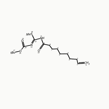 C=CCCCCCCCC(=O)N/C(=N/C(=O)OC(C)(C)C)SC